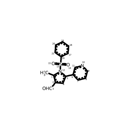 Cc1c(C=O)cc(-c2cccnc2)n1S(=O)(=O)c1ccccc1